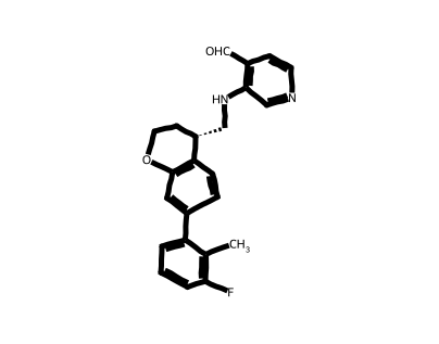 Cc1c(F)cccc1-c1ccc2c(c1)OCC[C@@H]2CNc1cnccc1C=O